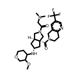 COC1COCCC1N[C@@H]1C[C@H]2CN(C(=O)CN(C)C)C[C@@]2(C(=O)N2CCc3ncc(C(F)(F)F)cc3C2)C1